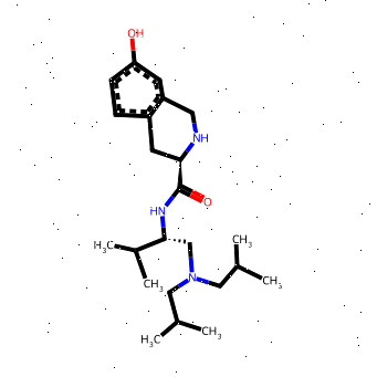 CC(C)CN(CC(C)C)C[C@@H](NC(=O)[C@H]1Cc2ccc(O)cc2CN1)C(C)C